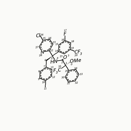 CO[C@](C(=O)N[C@@](Cc1ccc(C)cc1)(c1cc(F)cc(C(F)(F)F)c1)c1ccc(Cl)cn1)(c1ccccc1)C(F)(F)F